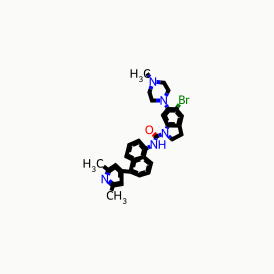 Cc1cc(-c2cccc3c(NC(=O)N4CCc5cc(Br)c(N6CCN(C)CC6)cc54)cccc23)cc(C)n1